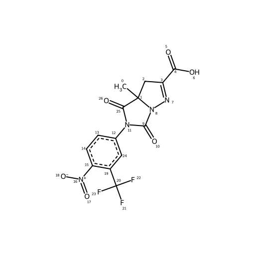 CC12CC(C(=O)O)=NN1C(=O)N(c1ccc([N+](=O)[O-])c(C(F)(F)F)c1)C2=O